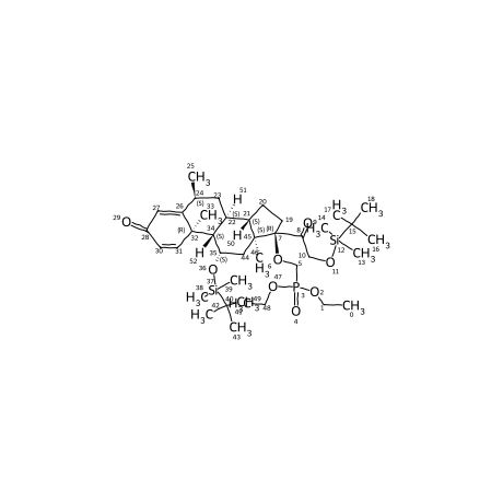 CCOP(=O)(CO[C@]1(C(=O)CO[Si](C)(C)C(C)(C)C)CC[C@H]2[C@@H]3C[C@H](C)C4=CC(=O)C=C[C@]4(C)[C@H]3[C@@H](O[Si](C)(C)C(C)(C)C)C[C@@]21C)OCC